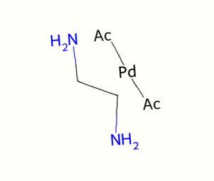 C[C](=O)[Pd][C](C)=O.NCCN